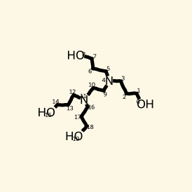 OCCCN(CCCO)CCN(CCCO)CCCO